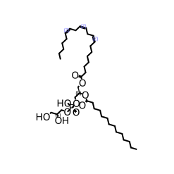 CCCCC/C=C\C/C=C\C/C=C\CCCCCCC(=O)OC[C@H](COP(=O)(O)OC[C@@H](O)CO)OC(=O)CCCCCCCCCCCCC